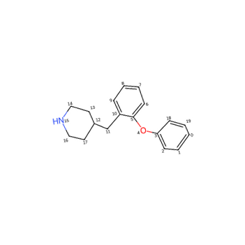 c1ccc(Oc2ccccc2CC2CCNCC2)cc1